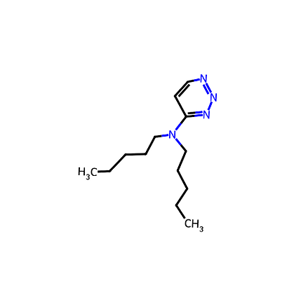 CCCCCN(CCCCC)c1ccnnn1